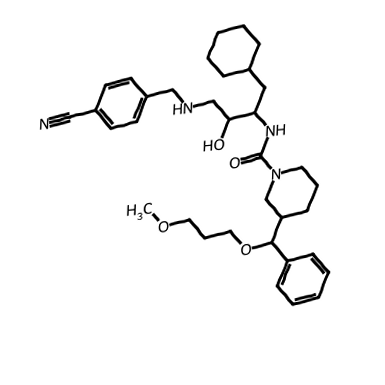 COCCCOC(c1ccccc1)C1CCCN(C(=O)NC(CC2CCCCC2)C(O)CNCc2ccc(C#N)cc2)C1